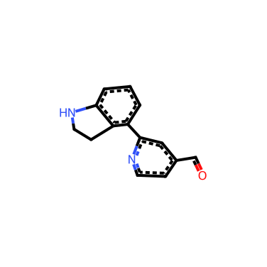 O=Cc1ccnc(-c2cccc3c2CCN3)c1